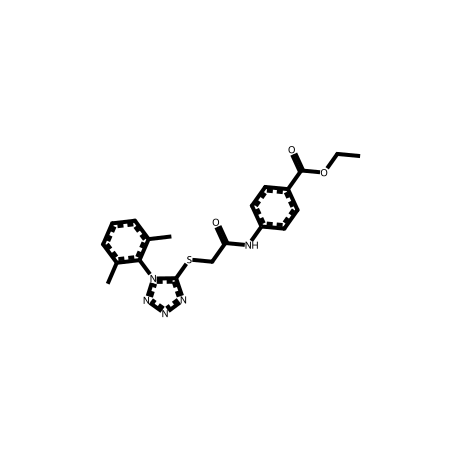 CCOC(=O)c1ccc(NC(=O)CSc2nnnn2-c2c(C)cccc2C)cc1